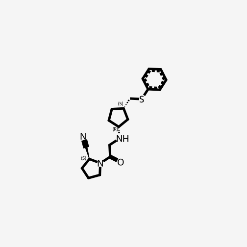 N#C[C@@H]1CCCN1C(=O)CN[C@@H]1CC[C@H](CSc2ccccc2)C1